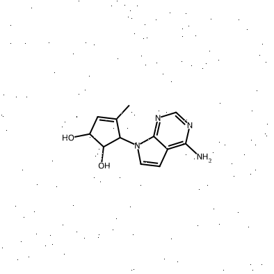 CC1=CC(O)C(O)C1n1ccc2c(N)ncnc21